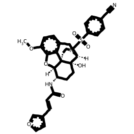 COc1ccc2c3c1O[C@@H]1[C@@H](NC(=O)/C=C/c4ccoc4)CC[C@]4(O)[C@H](C2)N(S(=O)(=O)c2ccc(C#N)cc2)CC[C@@]314